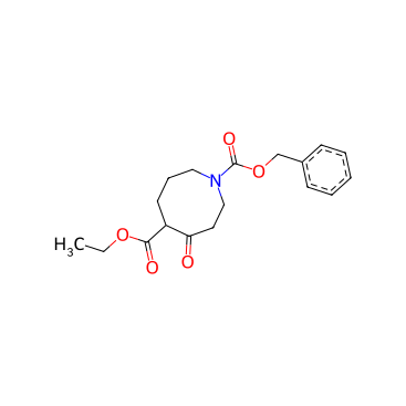 CCOC(=O)C1CCCN(C(=O)OCc2ccccc2)CCC1=O